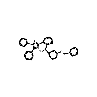 OC(c1cccc(OCc2ccccc2)c1)c1ccccc1-c1nc(-c2ccccc2)c(-c2ccccc2)o1